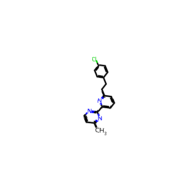 Cc1ccnc(-c2cccc(CCc3ccc(Cl)cc3)n2)n1